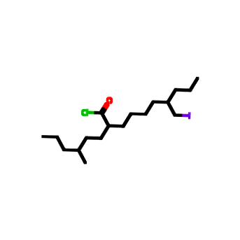 CCCC(C)CCC(CCCCC(CI)CCC)C(=O)Cl